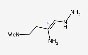 CNCC/C(N)=C/NN